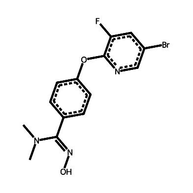 CN(C)/C(=N\O)c1ccc(Oc2ncc(Br)cc2F)cc1